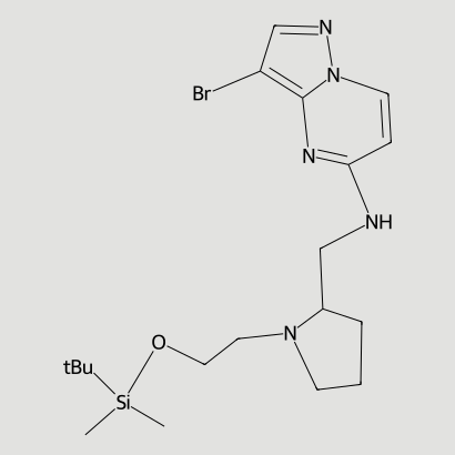 CC(C)(C)[Si](C)(C)OCCN1CCCC1CNc1ccn2ncc(Br)c2n1